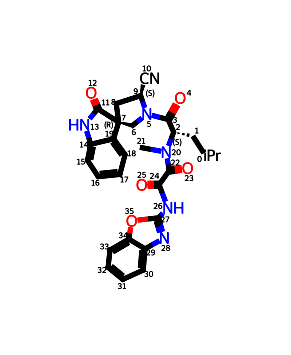 CC(C)C[C@@H](C(=O)N1C[C@]2(C[C@H]1C#N)C(=O)Nc1ccccc12)N(C)C(=O)C(=O)Nc1nc2ccccc2o1